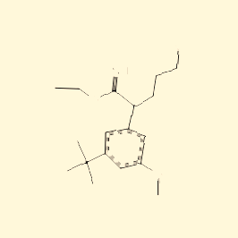 CCOC(=N)C(CCCCl)c1cc(OC)cc(C(C)(C)C)c1